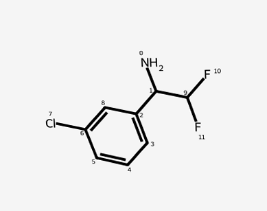 NC(c1cccc(Cl)c1)C(F)F